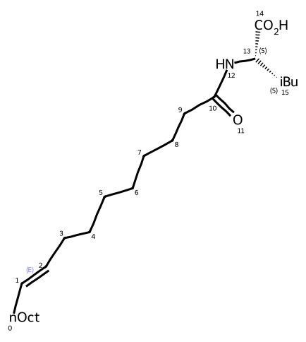 CCCCCCCC/C=C/CCCCCCCC(=O)N[C@H](C(=O)O)[C@@H](C)CC